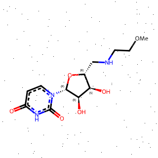 COCCNC[C@H]1O[C@@H](n2ccc(=O)[nH]c2=O)[C@H](O)[C@@H]1O